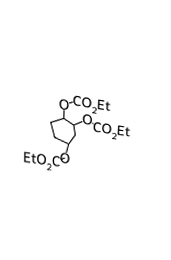 CCOC(=O)OC1CCC(OC(=O)OCC)C(OC(=O)OCC)C1